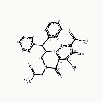 CC(=O)CN1CC(C(c2ccccc2)c2ccccc2)n2cc(C(=O)O)c(=O)c(C)c2C1=O